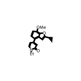 CCn1ccc(-c2ccc(OC)c3oc(C4CC4)cc23)cc1=O